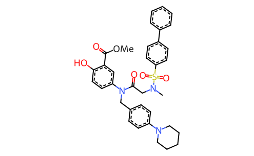 COC(=O)c1cc(N(Cc2ccc(N3CCCCC3)cc2)C(=O)CN(C)S(=O)(=O)c2ccc(-c3ccccc3)cc2)ccc1O